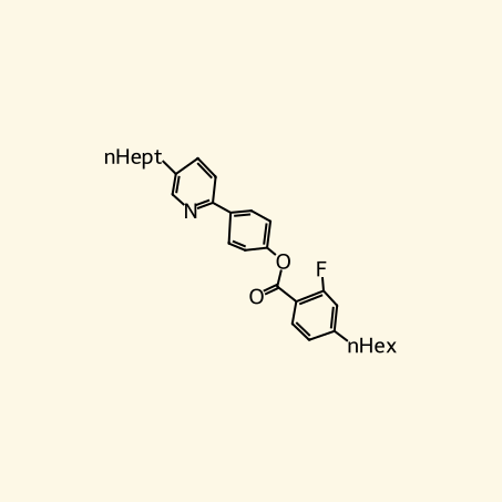 CCCCCCCc1ccc(-c2ccc(OC(=O)c3ccc(CCCCCC)cc3F)cc2)nc1